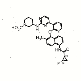 Cc1ccc2c(NC(=O)[C@H]3C[C@@H]3F)cccc2c1Oc1ncccc1-c1ccnc(NC2CCCN(C(=O)O)C2)n1